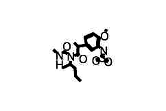 CCCC(C)N(C(=O)NC)C(=O)C(C)c1ccc(OC)c(N=S(=O)=O)c1